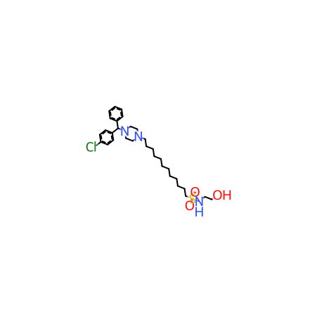 O=S(=O)(CCCCCCCCCCCCN1CCN(C(c2ccccc2)c2ccc(Cl)cc2)CC1)NCCO